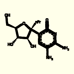 CCC[C@@]1(n2cc(N)c(N)nc2=O)O[C@H](CO)[C@@H](O)[C@H]1O